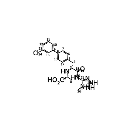 C[C@H](N[C@H](Cc1ccc(-c2cccc(Cl)c2)cc1)C(=O)NC1=NNNN1C)C(=O)O